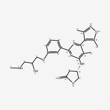 CNCC(O)COc1cccc(-c2nc(N[C@@H]3COC(=O)C3)c(C)c(-c3c(C)noc3C)n2)c1